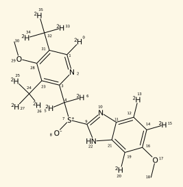 [2H]c1nc(C([2H])([2H])[S+]([O-])c2nc3c([2H])c([2H])c(OC)c([2H])c3[nH]2)c(C([2H])([2H])[2H])c(OC)c1C([2H])([2H])[2H]